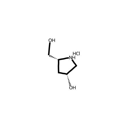 Cl.OC[C@H]1C[C@@H](O)CN1